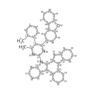 Cc1ccccc1-c1c(C)nc(-n2c3ccccc3c3c4ccccc4c4c5ccccc5sc4c32)nc1-c1ccc2oc3ccccc3c2c1